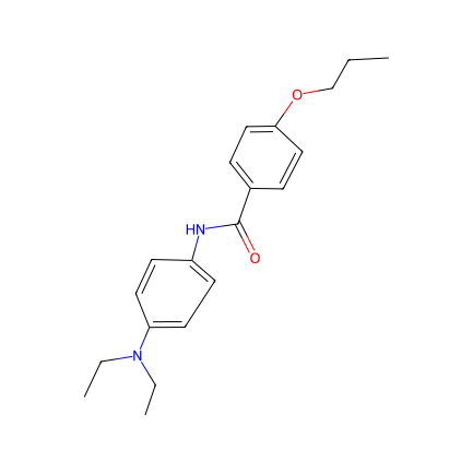 CCCOc1ccc(C(=O)Nc2ccc(N(CC)CC)cc2)cc1